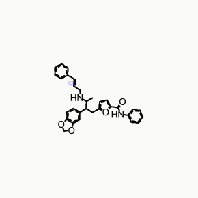 CC(NC/C=C/c1ccccc1)C(Cc1ccc(C(=O)Nc2ccccc2)o1)c1ccc2c(c1)OCO2